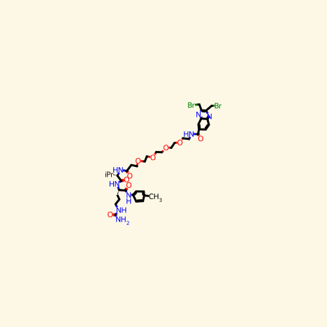 Cc1ccc(NC(=O)[C@H](CCCNC(N)=O)NC(=O)[C@@H](NC(=O)CCOCCOCCOCCOCCNC(=O)c2ccc3nc(CBr)c(CBr)nc3c2)C(C)C)cc1